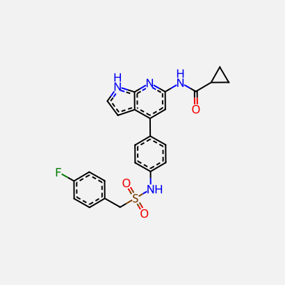 O=C(Nc1cc(-c2ccc(NS(=O)(=O)Cc3ccc(F)cc3)cc2)c2cc[nH]c2n1)C1CC1